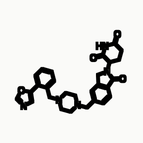 O=C1CCC(N2Cc3cc(CN4CCN(Cc5ccccc5-c5cnco5)CC4)ccc3C2=O)C(=O)N1